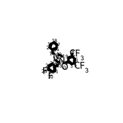 O=C(c1cc(C(F)(F)F)cc(C(F)(F)F)c1)N1CCN(Cc2ccccc2)C[C@H]1Cc1ccc(F)c(F)c1